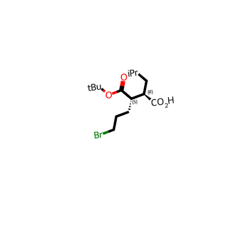 CC(C)C[C@@H](C(=O)O)[C@H](CCCBr)C(=O)OC(C)(C)C